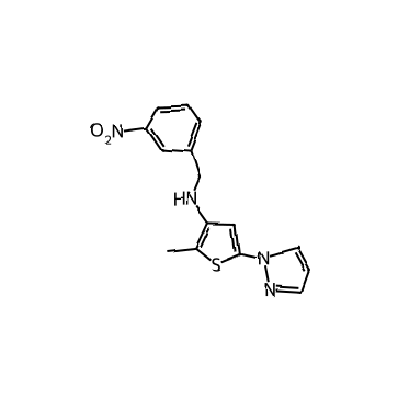 Cc1sc(-n2cccn2)cc1NCc1cccc([N+](=O)[O-])c1